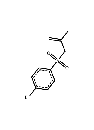 C=C(C)CS(=O)(=O)c1ccc(Br)cc1